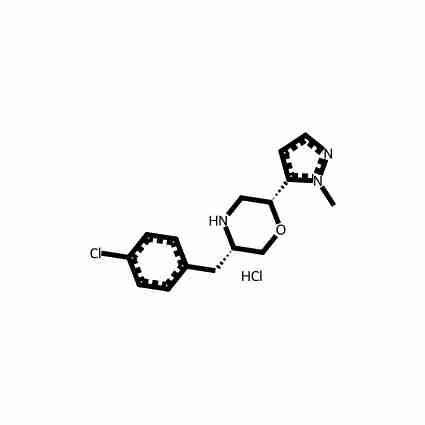 Cl.Cn1nccc1[C@H]1CN[C@@H](Cc2ccc(Cl)cc2)CO1